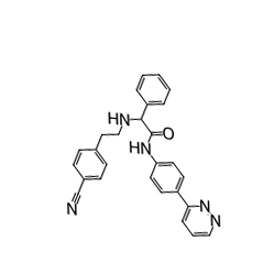 N#Cc1ccc(CCNC(C(=O)Nc2ccc(-c3cccnn3)cc2)c2ccccc2)cc1